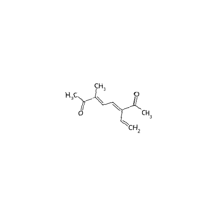 C=C/C(=C\C=C(/C)C(C)=O)C(C)=O